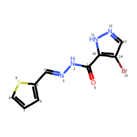 O=C(NN=Cc1cccs1)c1[nH]ncc1Br